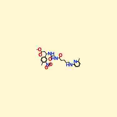 COC(=O)CC(NC(=O)CNC(=O)CCCCNc1cccc(C)n1)c1ccc(C)c([N+](=O)[O-])c1